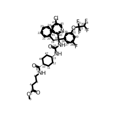 COC(=O)CCCNC(=O)[C@H]1CC[C@@H](NC(=O)N[C@@](Cc2ccccc2)(c2cc(F)cc(OC(F)(F)C(F)F)c2)c2ccc(Cl)cn2)CC1